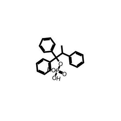 CC(c1ccccc1)C(OP(=O)(O)O)(c1ccccc1)c1ccccc1